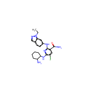 CCn1ncc2ccc(Nc3nc(NC4CCCCC4N)c(F)cc3C(N)=O)cc21